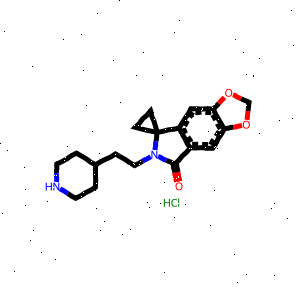 Cl.O=C1c2cc3c(cc2C2(CC2)N1CCC1CCNCC1)OCO3